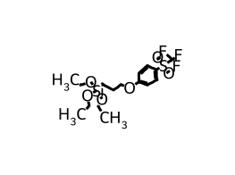 CCO[Si](CCCOc1ccc(S(=O)(=O)C(F)(F)F)cc1)(OCC)OCC